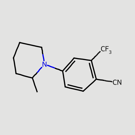 CC1CCCCN1c1ccc(C#N)c(C(F)(F)F)c1